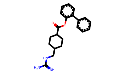 N=C(N)NCC1CCC(C(=O)Oc2ccccc2-c2ccccc2)CC1